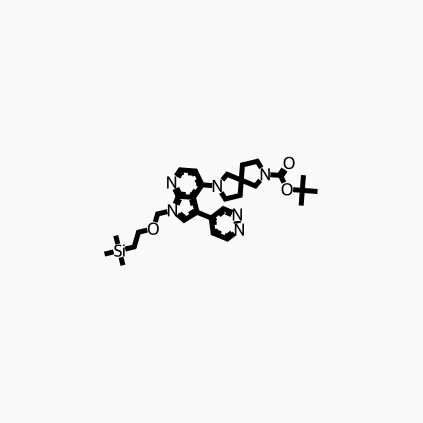 CC(C)(C)OC(=O)N1CCC2(CCN(c3ccnc4c3c(-c3ccnnc3)cn4COCC[Si](C)(C)C)C2)C1